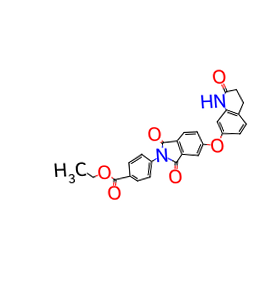 CCOC(=O)c1ccc(N2C(=O)c3ccc(Oc4ccc5c(c4)NC(=O)CC5)cc3C2=O)cc1